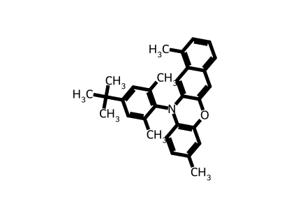 Cc1ccc2c(c1)Oc1cc3cccc(C)c3cc1N2c1c(C)cc(C(C)(C)C)cc1C